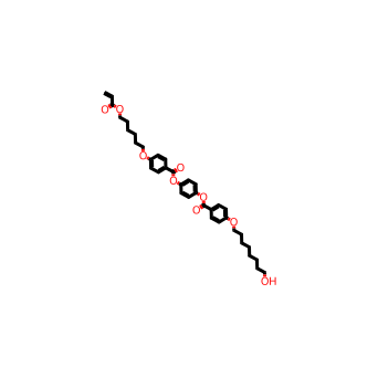 C=CC(=O)OCCCCCCOc1ccc(C(=O)Oc2ccc(OC(=O)c3ccc(OCCCCCCCCO)cc3)cc2)cc1